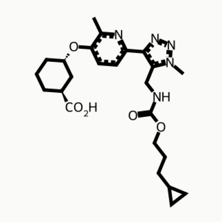 Cc1nc(-c2nnn(C)c2CNC(=O)OCCCC2CC2)ccc1O[C@H]1CCC[C@H](C(=O)O)C1